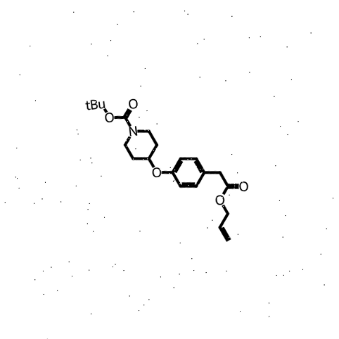 C=CCOC(=O)Cc1ccc(OC2CCN(C(=O)OC(C)(C)C)CC2)cc1